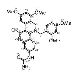 COc1ccc(CN(Cc2ccc(OC)cc2OC)c2cc(Cl)nc3cc(NC(N)=O)cnc23)c(OC)c1